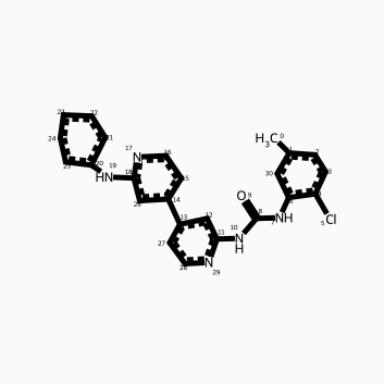 Cc1ccc(Cl)c(NC(=O)Nc2cc(-c3ccnc(Nc4ccccc4)c3)ccn2)c1